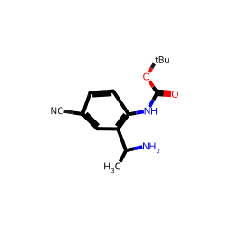 CC(N)c1cc(C#N)ccc1NC(=O)OC(C)(C)C